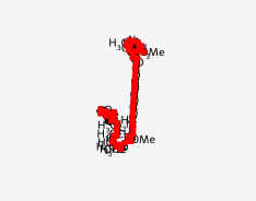 COc1ccc(-c2ccc3ncc4c(c3c2)n(-c2ccc(N3CCN(C(=O)CCOCCOCCOCCOCCOCCOCCOCCOCCN/C=C(\N)CCCCO[C@@H]5CC[C@@H](CCC(CC(=O)[C@H](C)/C=C(\C)[C@@H](O)CC(=O)[C@H](C)C[C@H](C)/C=C/C=C/C=C(\C)C(CC6CCCC(C(=O)C(=O)N7CCCCC7)O6)c6ccco6)OC=O)C[C@H]5OC)CC3)c(C(F)(F)F)c2)c(=O)n4C)cn1